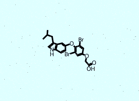 CC(C)Cc1c[nH]c2ccc(Oc3c(Br)cc(OCC(=O)O)cc3Br)cc12